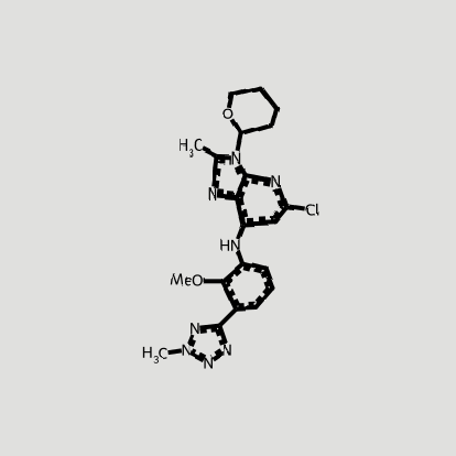 COc1c(Nc2cc(Cl)nc3c2nc(C)n3C2CCCCO2)cccc1-c1nnn(C)n1